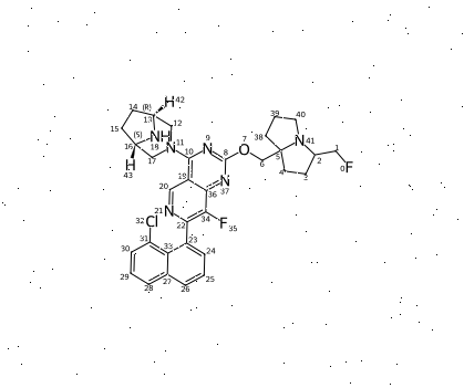 FCC1CCC2(COc3nc(N4C[C@H]5CC[C@@H](C4)N5)c4cnc(-c5cccc6cccc(Cl)c56)c(F)c4n3)CCCN12